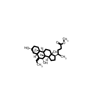 CC=C1[C@@H](O)[C@@H]2[C@H](CC[C@]3(C)[C@@H](C(C)CCC(=O)OC)CC[C@@H]23)[C@@]2(C)CC[C@@H](O)C[C@@H]12